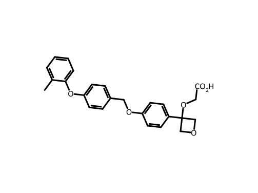 Cc1ccccc1Oc1ccc(COc2ccc(C3(OCC(=O)O)COC3)cc2)cc1